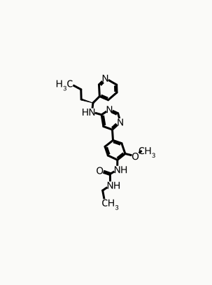 CCC[C@H](Nc1cc(-c2ccc(NC(=O)NCC)c(OC)c2)ncn1)c1cccnc1